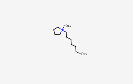 CCCCCCCCCCCCCCCC[N+]1(CCCCCCCC)CCCC1